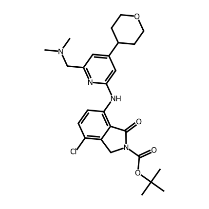 CN(C)Cc1cc(C2CCOCC2)cc(Nc2ccc(Cl)c3c2C(=O)N(C(=O)OC(C)(C)C)C3)n1